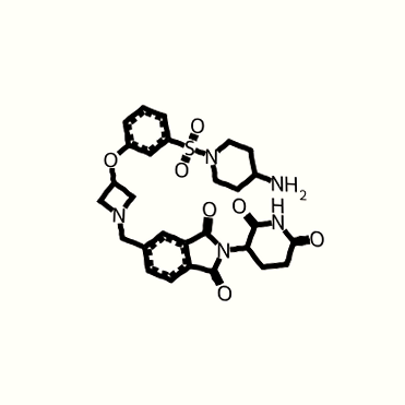 NC1CCN(S(=O)(=O)c2cccc(OC3CN(Cc4ccc5c(c4)C(=O)N(C4CCC(=O)NC4=O)C5=O)C3)c2)CC1